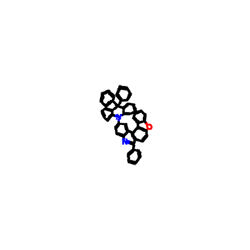 c1ccc(-c2nc3ccc(N4c5ccccc5C(c5ccccc5)(c5ccccc5)c5ccccc54)cc3c3c2ccc2oc4ccccc4c23)cc1